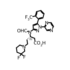 O=CN(c1cc(-c2ccccc2C(F)(F)F)n(-c2cnccn2)n1)[C@@H](CCN1CCCC(F)(F)C1)CC(=O)O